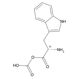 N[C@@H](Cc1c[nH]c2ccccc12)C(=O)OC(=O)O